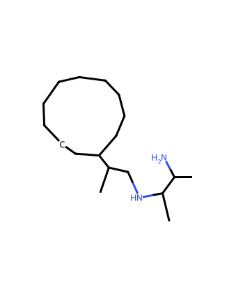 CC(N)C(C)NCC(C)C1CCCCCCCCCC1